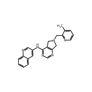 Cc1cccnc1CN1Cc2ncnc(Nc3cnc4ccccc4c3)c2C1